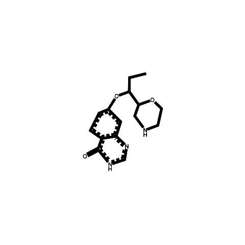 CCC(Oc1ccc2c(=O)[nH]cnc2c1)C1CNCCO1